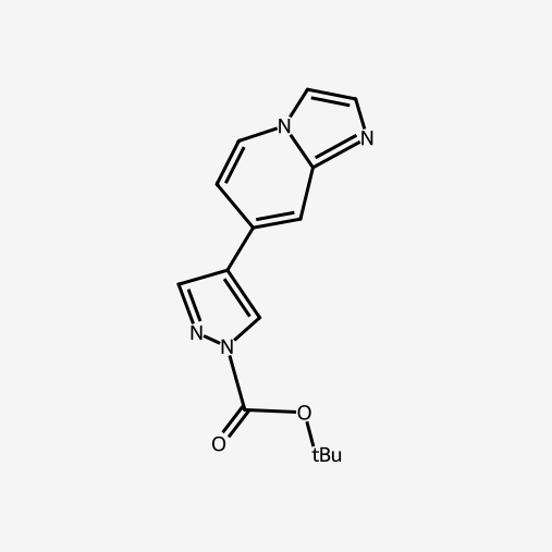 CC(C)(C)OC(=O)n1cc(-c2ccn3ccnc3c2)cn1